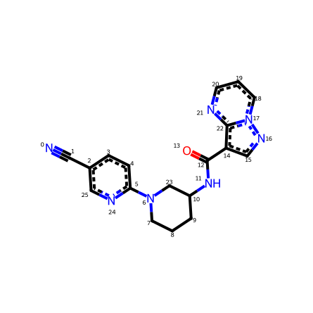 N#Cc1ccc(N2CCCC(NC(=O)c3cnn4cccnc34)C2)nc1